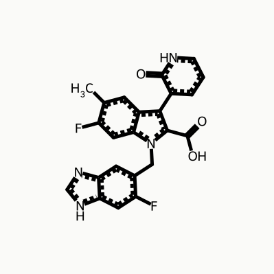 Cc1cc2c(-c3ccc[nH]c3=O)c(C(=O)O)n(Cc3cc4nc[nH]c4cc3F)c2cc1F